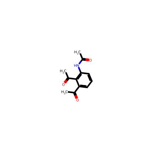 CC(=O)Nc1cccc(C(C)=O)c1C(C)=O